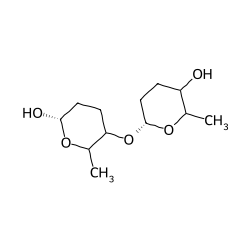 CC1O[C@H](OC2CC[C@@H](O)OC2C)CCC1O